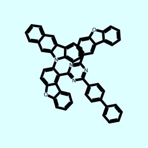 c1ccc(-c2ccc(-c3nc(-c4ccc5oc6ccccc6c5c4)nc(-c4c(-n5c6ccccc6c6cc7ccccc7cc65)ccc5oc6ccccc6c45)n3)cc2)cc1